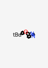 CC(C)(C)c1ccc(OC(CCCn2ccnc2)Cc2ccccc2)cc1